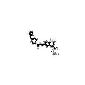 CC(C)(C)OC(=O)N1CC(=O)Nc2ncc(/C=C/C(=O)N3CC=C(Cc4cccs4)CC3)cc2C1